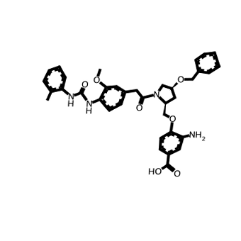 COc1cc(CC(=O)N2C[C@@H](OCc3ccccc3)C[C@H]2COc2ccc(C(=O)O)cc2N)ccc1NC(=O)Nc1ccccc1C